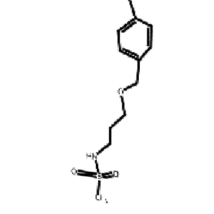 CCC(C)c1ccc(COCCCNS(=O)(=O)C(F)(F)F)cc1